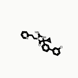 N=C1NC(c2cccc(-c3cccc(Cl)c3)c2)(C2CC2)C(=O)N1CCc1ccccn1